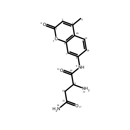 Cc1cc(=O)oc2cc(NC(=O)C(N)CC(N)=O)ccc12